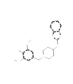 CCOc1cc(CN2CCC(Nc3nc4[c]cccc4o3)CC2)cc(OCC)c1F